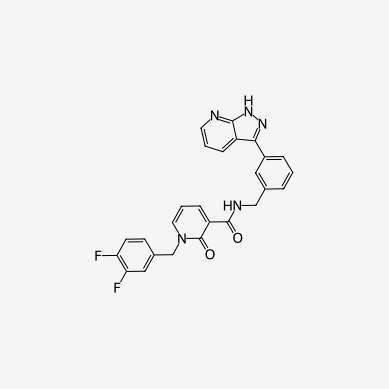 O=C(NCc1cccc(-c2n[nH]c3ncccc23)c1)c1cccn(Cc2ccc(F)c(F)c2)c1=O